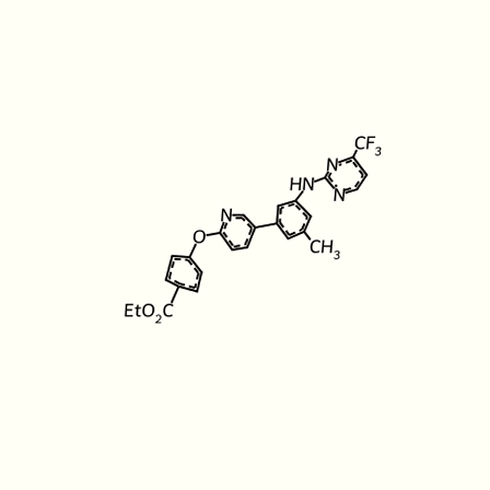 CCOC(=O)c1ccc(Oc2ccc(-c3cc(C)cc(Nc4nccc(C(F)(F)F)n4)c3)cn2)cc1